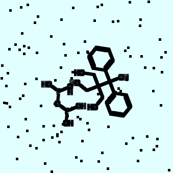 OCC(CO)(CO)C(O)(c1ccccc1)c1ccccc1.OP(O)OP(O)O